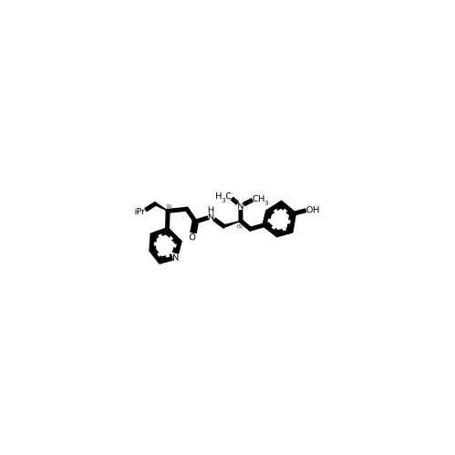 CC(C)C[C@@H](CC(=O)NC[C@H](Cc1ccc(O)cc1)N(C)C)c1cccnc1